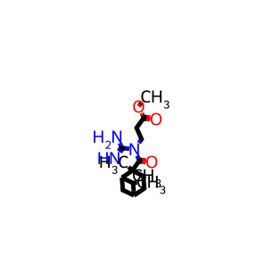 COC(=O)CCN(C(=N)N)C(=O)C1(C)CCC2CC1C2(C)C